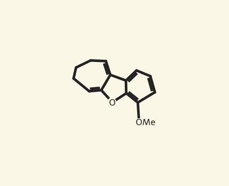 COc1cccc2c3c(oc12)=CCCCC=3